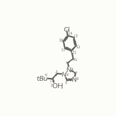 CC(C)(C)C(O)CN1C=NCN1CCc1ccc(Cl)cc1